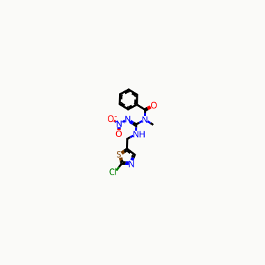 CN(C(=O)c1ccccc1)C(=N[N+](=O)[O-])NCc1cnc(Cl)s1